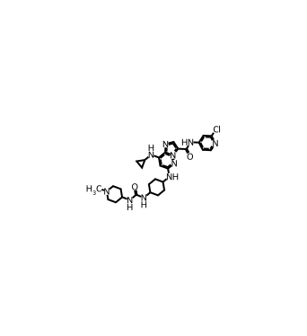 CN1CCC(NC(=O)NC2CCC(Nc3cc(NC4CC4)c4ncc(C(=O)Nc5ccnc(Cl)c5)n4n3)CC2)CC1